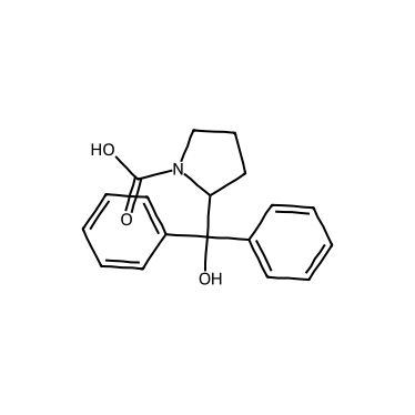 O=C(O)N1CCCC1C(O)(c1ccccc1)c1ccccc1